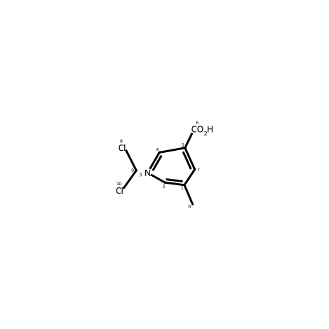 Cc1cncc(C(=O)O)c1.ClCCl